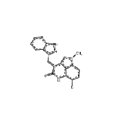 Cn1cc2/c(=C\c3n[nH]c4ncccc34)c(=O)[nH]c3c(Br)ccc1c32